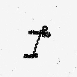 CCCCCC[C@H](CC=CCCCCCCCC(=O)OC)O[Si](c1ccccc1)(c1ccccc1)C(C)(C)C